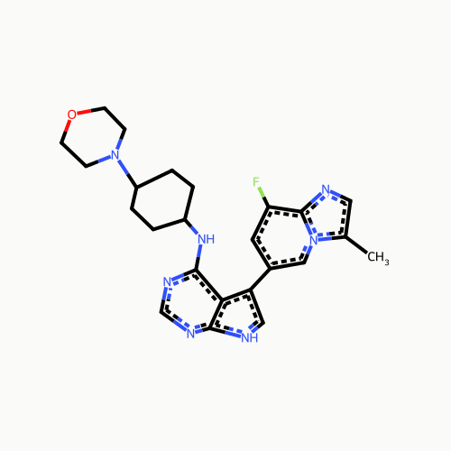 Cc1cnc2c(F)cc(-c3c[nH]c4ncnc(NC5CCC(N6CCOCC6)CC5)c34)cn12